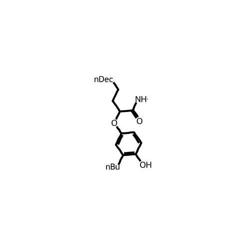 CCCCCCCCCCCCC(Oc1ccc(O)c(CCCC)c1)C([NH])=O